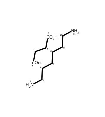 CCCCCCCCCCC(=O)O.NCCCCCCN